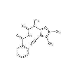 Cc1sc(N(C)C(=O)NC(=O)c2ccccc2)c(C#N)c1C